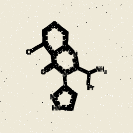 CC(C)C(N)c1nc2cccc(Cl)c2c(=O)n1-c1cc[nH]n1